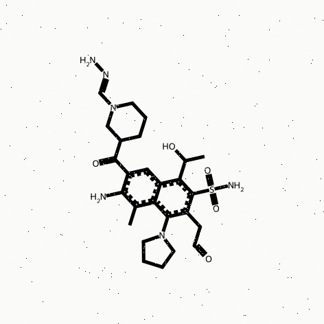 Cc1c(N)c(C(=O)C2CCCN(C=NN)C2)cc2c(C(C)O)c(S(N)(=O)=O)c(CC=O)c(N3CCCC3)c12